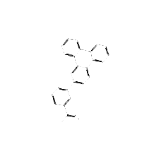 CC(=N)c1cccc(-c2ccc3c4ccccc4c4ccccc4c3c2)c1